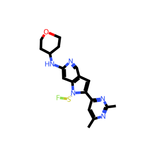 Cc1cc(-c2cc3cnc(NC4CCOCC4)cc3n2SF)nc(C)n1